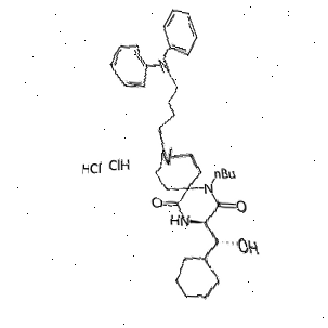 CCCCN1C(=O)[C@@H]([C@H](O)C2CCCCC2)NC(=O)C12CCN(CCCCN(c1ccccc1)c1ccccc1)CC2.Cl.Cl